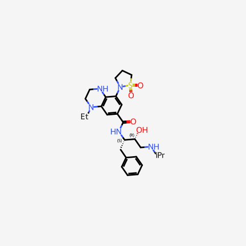 CCN1CCNc2c1cc(C(=O)N[C@@H](Cc1ccccc1)[C@H](O)CNC(C)C)cc2N1CCCS1(=O)=O